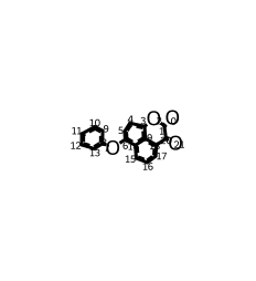 O=C1Oc2ccc(Oc3ccccc3)c3cccc(c23)C1=O